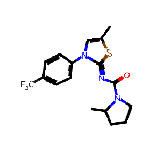 Cc1cn(-c2ccc(C(F)(F)F)cc2)c(=NC(=O)N2CCCC2C)s1